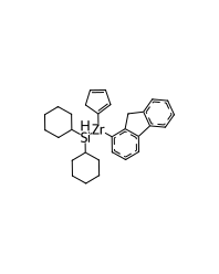 C1=CC[C]([Zr]([c]2cccc3c2Cc2ccccc2-3)[SiH](C2CCCCC2)C2CCCCC2)=C1